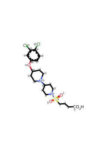 O=C(O)CCCS(=O)(=O)N1CCC(N2CCC(Oc3ccc(Cl)c(Cl)c3)CC2)CC1